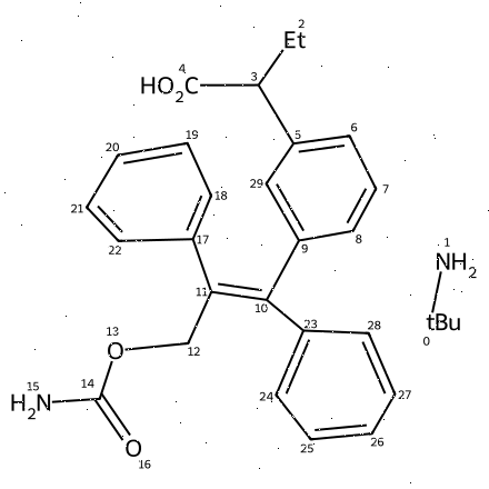 CC(C)(C)N.CCC(C(=O)O)c1cccc(C(=C(COC(N)=O)c2ccccc2)c2ccccc2)c1